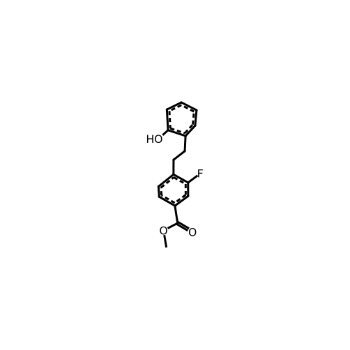 COC(=O)c1ccc(CCc2ccccc2O)c(F)c1